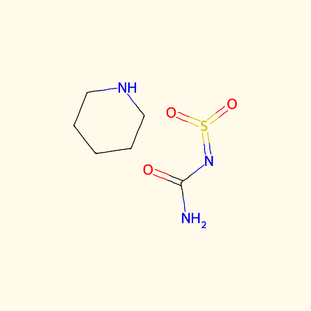 C1CCNCC1.NC(=O)N=S(=O)=O